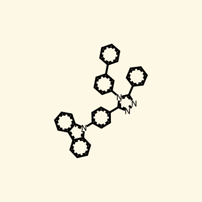 c1ccc(-c2cccc(-n3c(-c4ccccc4)nnc3-c3ccc(-n4c5ccccc5c5ccccc54)cc3)c2)cc1